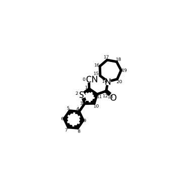 N#Cc1sc(-c2ccccc2)cc1C(=O)N1CCCCCC1